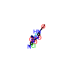 CCOCCCCCNc1ccc(C(=O)NCC(C)(C)C2C(=O)N(c3ccc(C#N)c(Cl)c3)C(=O)[C@H]2C2(C)C3=CCC32)c(F)c1